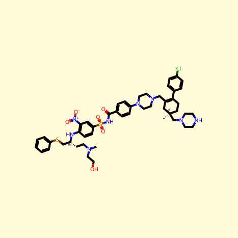 CN(CCO)CC[C@H](CSc1ccccc1)Nc1ccc(S(=O)(=O)NC(=O)c2ccc(N3CCN(CC4=C(c5ccc(Cl)cc5)CC[C@@](C)(CN5CCNCC5)C4)CC3)cc2)cc1[N+](=O)[O-]